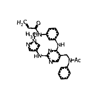 C=CC(=O)Nc1cccc(Nc2nc(Nc3cnn(C)c3)ncc2CN(C(C)=O)c2ccccc2)c1